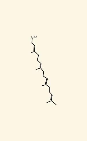 CC(=O)OC/C=C(\C)CC/C=C(\C)CC/C=C(\C)CCC=C(C)C